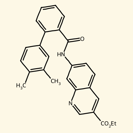 CCOC(=O)c1cnc2cc(NC(=O)c3ccccc3-c3ccc(C)c(C)c3)ccc2c1